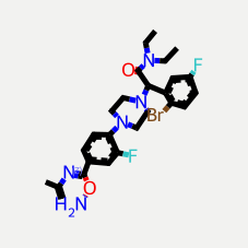 C=C(C)/N=C(\ON)c1ccc(N2CCN(C(C(=O)N(CC)CC)c3cc(F)ccc3Br)CC2)c(F)c1